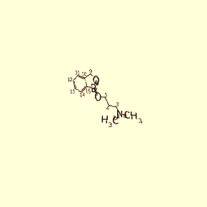 CN(C)CCCOB1OCc2ccccc21